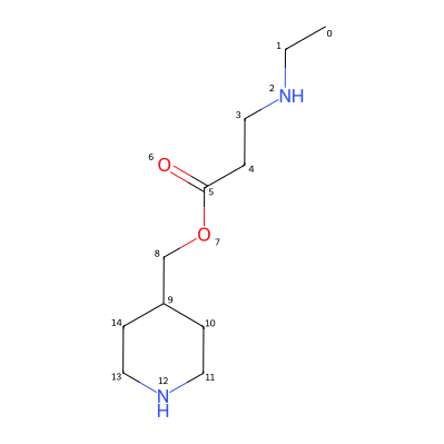 CCNCCC(=O)OCC1CCNCC1